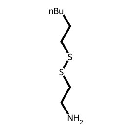 CCCCCCSSCCN